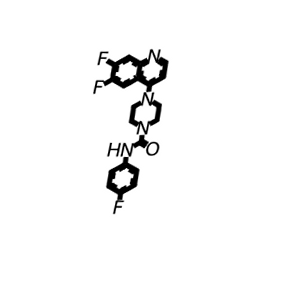 O=C(Nc1ccc(F)cc1)N1CCN(c2ccnc3cc(F)c(F)cc23)CC1